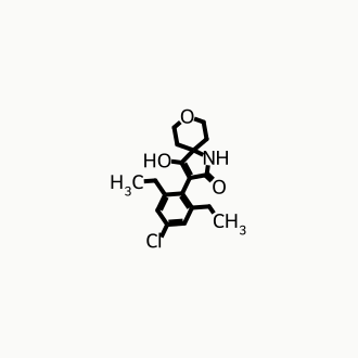 CCc1cc(Cl)cc(CC)c1C1=C(O)C2(CCOCC2)NC1=O